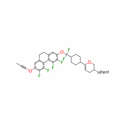 CC#COc1cc2c(c(F)c1F)-c1c(cc(OC(F)(F)C3CCC(C4=CCC(CCCCC)CO4)CC3)c(F)c1F)CC2